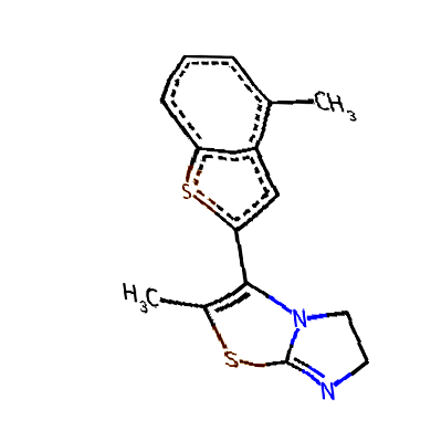 CC1=C(c2cc3c(C)cccc3s2)N2CCN=C2S1